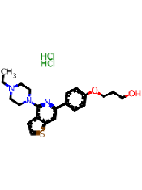 CCN1CCN(c2nc(-c3ccc(OCCCO)cc3)cc3sccc23)CC1.Cl.Cl